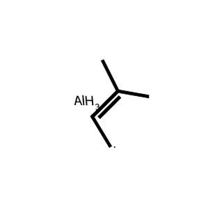 [AlH3].[CH2]C=C(C)C